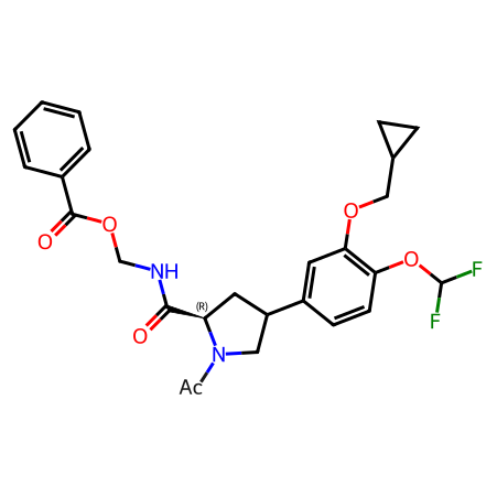 CC(=O)N1CC(c2ccc(OC(F)F)c(OCC3CC3)c2)C[C@@H]1C(=O)NCOC(=O)c1ccccc1